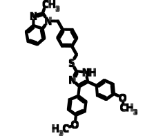 COc1ccc(-c2nc(SCc3ccc(Cn4c(C)nc5ccccc54)cc3)[nH]c2-c2ccc(OC)cc2)cc1